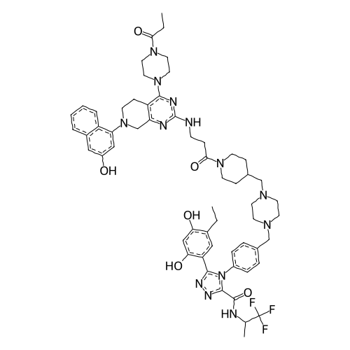 CCC(=O)N1CCN(c2nc(NCCC(=O)N3CCC(CN4CCN(Cc5ccc(-n6c(C(=O)NC(C)C(F)(F)F)nnc6-c6cc(CC)c(O)cc6O)cc5)CC4)CC3)nc3c2CCN(c2cc(O)cc4ccccc24)C3)CC1